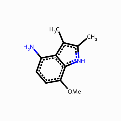 COc1ccc(N)c2c(C)c(C)[nH]c12